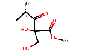 CC(C)OC(=O)C(O)(CO)C(=O)[C@H](C)C(C)C